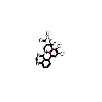 O=C(O)[C@H]1CN(c2ncnc3cccc(-c4ccc(Cl)c(Cl)c4)c23)CCC1(F)F